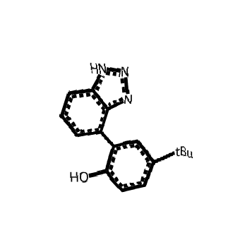 CC(C)(C)c1ccc(O)c(-c2cccc3[nH]nnc23)c1